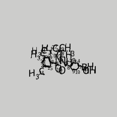 CCC[C@@H](N(NC(=O)c1ccc(BO)cc1)C(=O)c1cc(C)cc(C)c1)C(C)(C)C